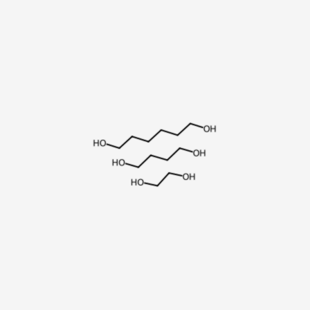 OCCCCCCO.OCCCCO.OCCO